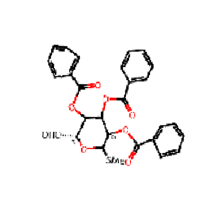 CSC1O[C@H](C=O)C(OC(=O)c2ccccc2)C(OC(=O)c2ccccc2)[C@H]1OC(=O)c1ccccc1